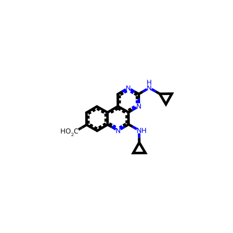 O=C(O)c1ccc2c(c1)nc(NC1CC1)c1nc(NC3CC3)ncc12